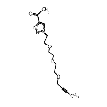 CC#CCOCCOCCOCCn1cc(C(C)=O)nn1